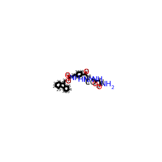 NC(=O)CC(=O)NNC[C@H](NC(=O)O)C(=O)c1ccc(CNC(=O)OCC2c3ccccc3-c3ccccc32)cc1